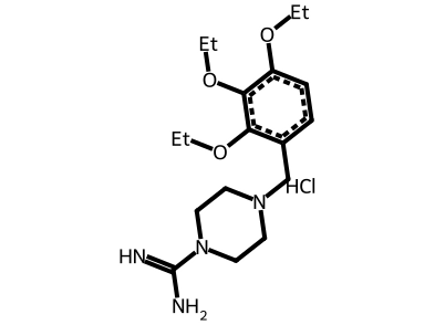 CCOc1ccc(CN2CCN(C(=N)N)CC2)c(OCC)c1OCC.Cl